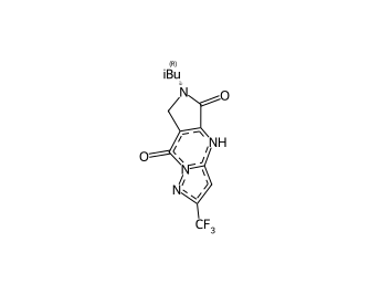 CC[C@@H](C)N1Cc2c([nH]c3cc(C(F)(F)F)nn3c2=O)C1=O